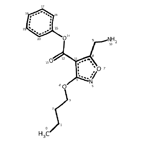 CCCCOc1noc(CN)c1C(=O)Oc1ccccc1